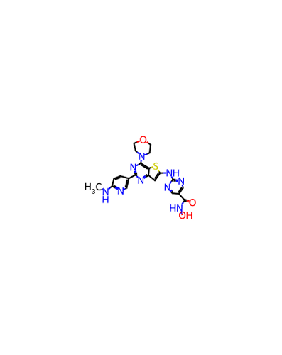 CNc1ccc(-c2nc(N3CCOCC3)c3sc(Nc4ncc(C(=O)NO)cn4)cc3n2)cn1